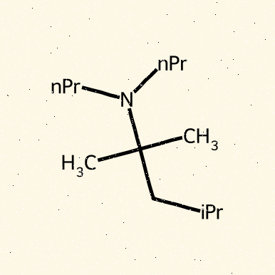 CCCN(CCC)C(C)(C)CC(C)C